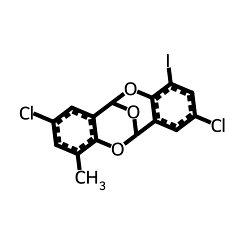 Cc1cc(Cl)cc2c1OC1OC2Oc2c(I)cc(Cl)cc21